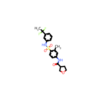 Cc1cc(NC(=O)C2CCOC2)ccc1S(=O)(=O)Nc1cccc(C(C)(F)F)c1